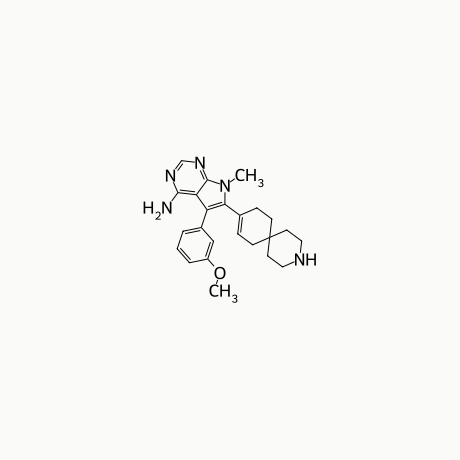 COc1cccc(-c2c(C3=CCC4(CCNCC4)CC3)n(C)c3ncnc(N)c23)c1